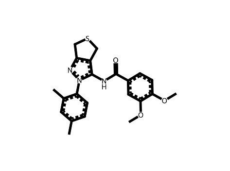 COc1ccc(C(=O)Nc2c3c(nn2-c2ccc(C)cc2C)CSC3)cc1OC